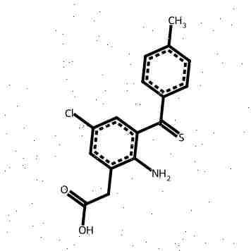 Cc1ccc(C(=S)c2cc(Cl)cc(CC(=O)O)c2N)cc1